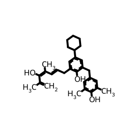 C=C(C)/C(O)=C(C)\C=C\Cc1cc(C2CCCCC2)cc(Cc2cc(C)c(O)c(C)c2)c1O